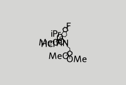 COCC(=O)O[C@@]1(CCNCCCc2ccc(OC)c(OC)c2)CCc2cc(F)ccc2[C@H]1C(C)C.Cl